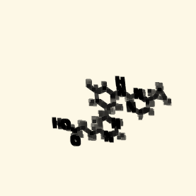 Cc1cc(Nc2nccc(C3CC3)n2)cc(-c2cc(CCC(=O)O)ncn2)c1